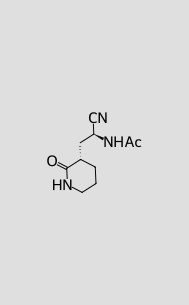 CC(=O)N[C@H](C#N)C[C@@H]1CCCNC1=O